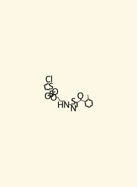 Cc1ccccc1C(=O)c1cnc(NCCCOS(=O)(=O)c2ccc(Cl)s2)s1